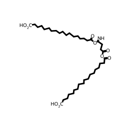 N=C(CCC(=O)OC(=O)CCCCCCCCCCCCCCCCC(=O)O)OC(=O)CCCCCCCCCCCCCCCCC(=O)O